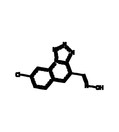 O/N=C/c1cc2ccc(Cl)cc2n2nnnc12